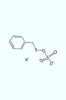 O=S(=O)([O-])OSCc1ccccc1.[K+]